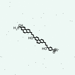 C[N+](C)=C1C=Cc2c(ccc3cc(=CC=C/C(O)=c4\ccc5c(ccc6cc(=CC=CC(O)=C7C=CC([NH+]([O-])[O-])C=C7)ccc65)c4)ccc23)=C1